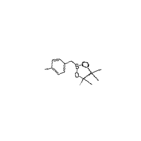 Cc1ccc(CB2OC(C)(C)C(C)(C)O2)cc1